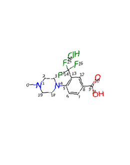 CN1CCN(c2ccc(C(=O)O)cc2C(F)(F)F)CC1.Cl